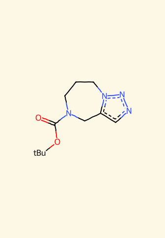 CC(C)(C)OC(=O)N1CCCn2nncc2C1